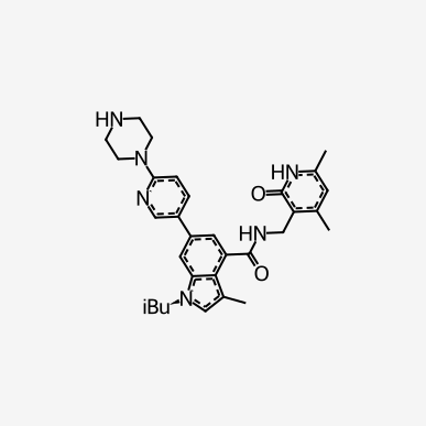 CC[C@H](C)n1cc(C)c2c(C(=O)NCc3c(C)cc(C)[nH]c3=O)cc(-c3ccc(N4CCNCC4)nc3)cc21